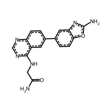 NC(=O)CNc1ncnc2ccc(-c3ccc4oc(N)nc4c3)cc12